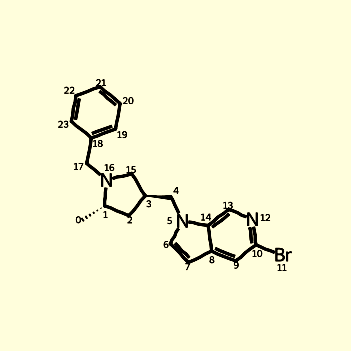 C[C@H]1C[C@H](Cn2ccc3cc(Br)ncc32)CN1Cc1ccccc1